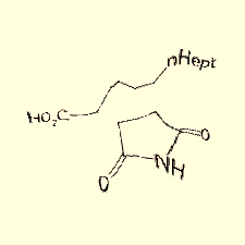 CCCCCCCCCCC(=O)O.O=C1CCC(=O)N1